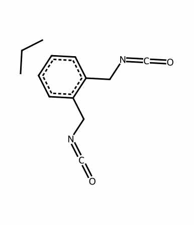 CCC.O=C=NCc1ccccc1CN=C=O